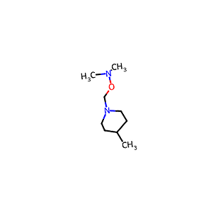 CC1CCN(CON(C)C)CC1